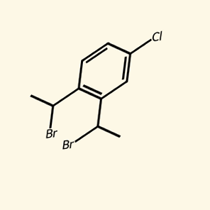 CC(Br)c1ccc(Cl)cc1C(C)Br